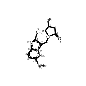 CCCC1CC(=O)N(Cc2c(C(F)(F)F)nc3ccc(SC)nn23)C1